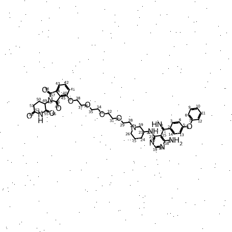 N=C(c1ccc(Oc2ccccc2)cc1)c1c(N)ncnc1NC1CCCN(CCOCCOCCOCCOc2cccc3c2C(=O)N(C2CCC(=O)NC2=O)C3=O)C1